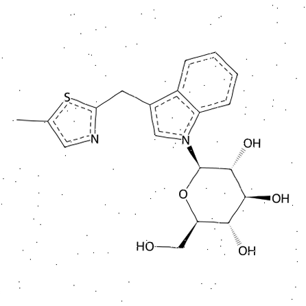 Cc1cnc(Cc2cn([C@@H]3O[C@H](CO)[C@@H](O)[C@H](O)[C@H]3O)c3ccccc23)s1